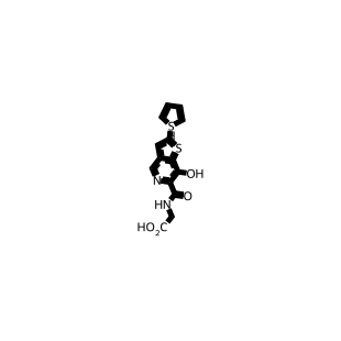 O=C(O)CNC(=O)c1ncc2cc([SH]3C=CC=C3)sc2c1O